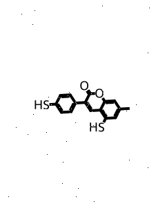 Cc1cc(S)c2cc(-c3ccc(S)cc3)c(=O)oc2c1